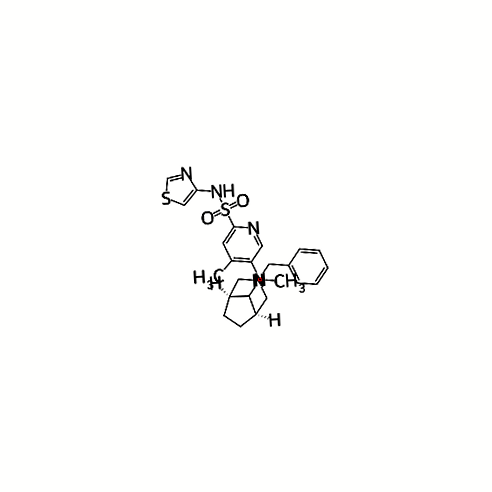 Cc1cc(S(=O)(=O)Nc2cscn2)ncc1N(C)C1[C@@H]2CC[C@H]1CN(Cc1ccccc1)C2